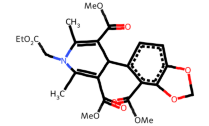 CCOC(=O)CN1C(C)=C(C(=O)OC)C(c2ccc3c(c2C(=O)OC)OCO3)C(C(=O)OC)=C1C